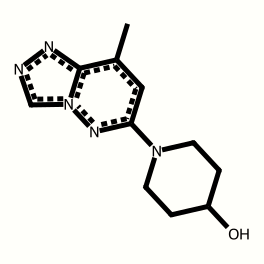 Cc1cc(N2CCC(O)CC2)nn2cnnc12